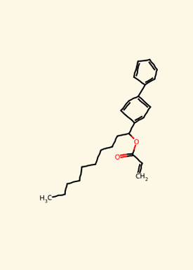 C=CC(=O)OC(CCCCCCCCC)c1ccc(-c2ccccc2)cc1